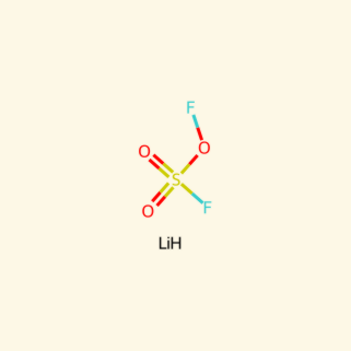 O=S(=O)(F)OF.[LiH]